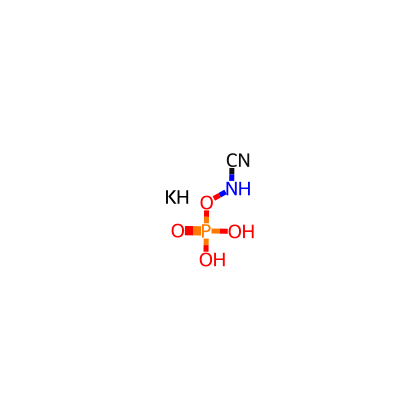 N#CNOP(=O)(O)O.[KH]